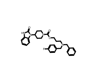 O=C(OCCCN(Cc1ccccc1)Cc1ccc(F)cc1)N1CCC(n2c(=O)[nH]c3ccccc32)CC1